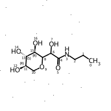 CCCNC(=O)C(O)C1OC[C@@H](O)[C@H](O)[C@H]1O